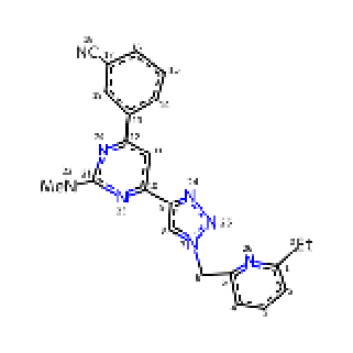 CCc1cccc(Cn2cc(-c3cc(-c4cccc(C#N)c4)nc(NC)n3)nn2)n1